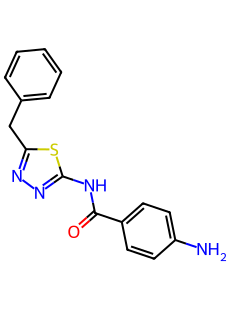 Nc1ccc(C(=O)Nc2nnc(Cc3ccccc3)s2)cc1